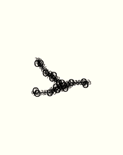 C=CC(=O)OCCCCCCCOc1ccc(C(=O)Oc2ccc(OC(=O)c3ccc(OCCCCCCCOC(=O)C=C)cc3)c(C(=O)OCc3ccc(OC(=O)c4ccc(OCCCCCCOC(=O)C=C)cc4)cc3)c2)cc1